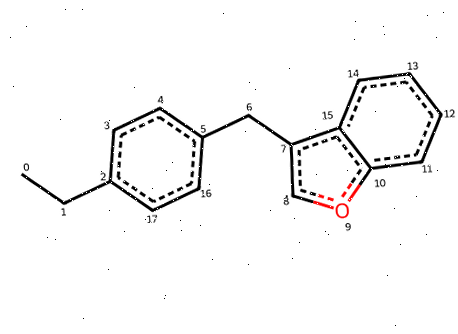 CCc1ccc(Cc2[c]oc3ccccc23)cc1